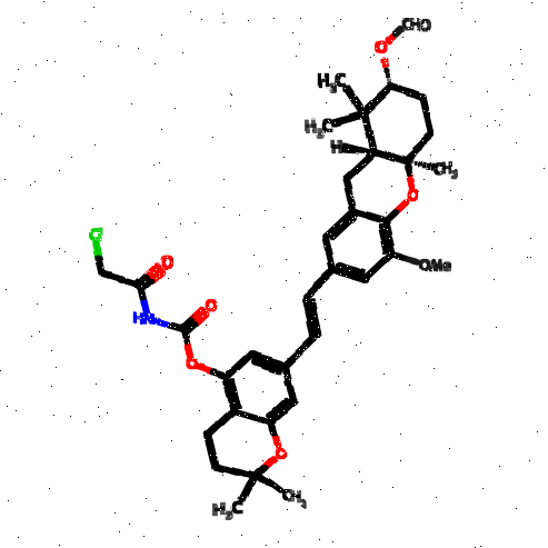 COc1cc(/C=C/c2cc(OC(=O)NC(=O)CCl)c3c(c2)OC(C)(C)CC3)cc2c1O[C@]1(C)CC[C@@H](OC=O)C(C)(C)[C@H]1C2